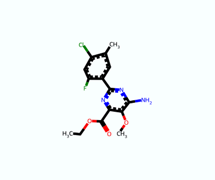 CCOC(=O)c1nc(-c2cc(C)c(Cl)cc2F)nc(N)c1OC